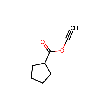 C#COC(=O)C1CCCC1